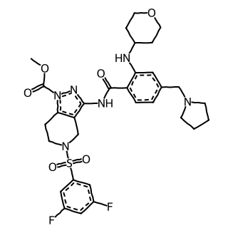 COC(=O)n1nc(NC(=O)c2ccc(CN3CCCC3)cc2NC2CCOCC2)c2c1CCN(S(=O)(=O)c1cc(F)cc(F)c1)C2